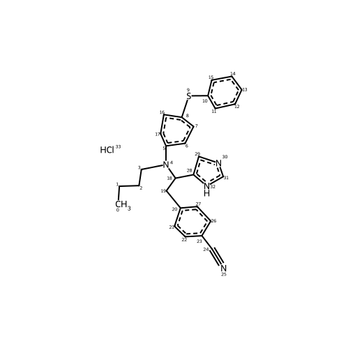 CCCCN(c1ccc(Sc2ccccc2)cc1)C(Cc1ccc(C#N)cc1)c1cnc[nH]1.Cl